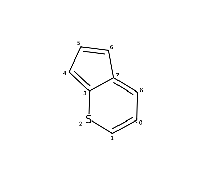 [c]1csc2cccc-2c1